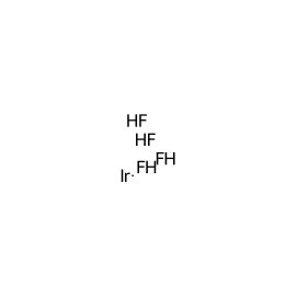 F.F.F.F.[Ir]